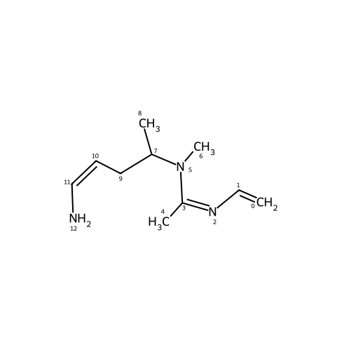 C=C/N=C(/C)N(C)C(C)C/C=C\N